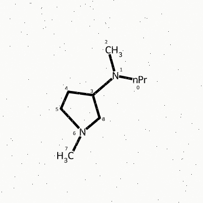 CCCN(C)C1CCN(C)C1